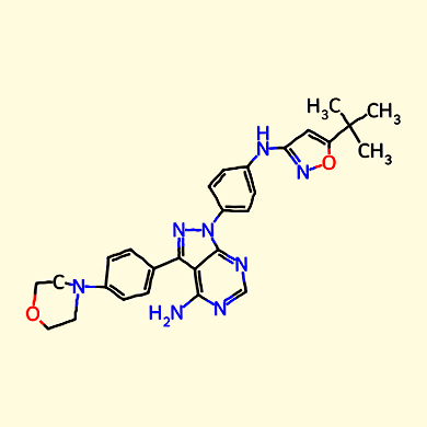 CC(C)(C)c1cc(Nc2ccc(-n3nc(-c4ccc(N5CCOCC5)cc4)c4c(N)ncnc43)cc2)no1